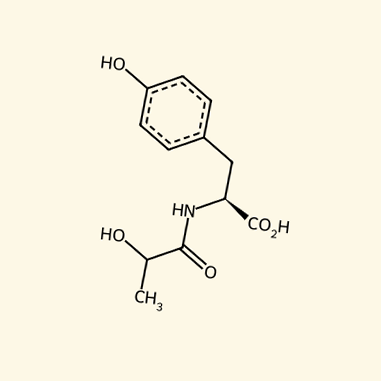 CC(O)C(=O)N[C@@H](Cc1ccc(O)cc1)C(=O)O